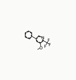 COc1cc(-c2ccccc2)cnc1C(F)(F)F